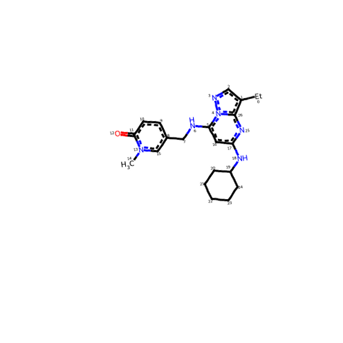 CCc1cnn2c(NCc3ccc(=O)n(C)c3)cc(NC3CCCCC3)nc12